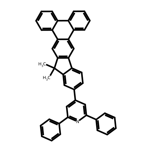 CC1(C)c2cc(-c3cc(-c4ccccc4)nc(-c4ccccc4)c3)ccc2-c2cc3c4ccccc4c4ccccc4c3cc21